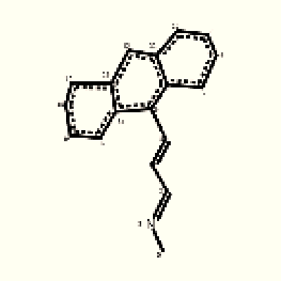 C/N=C/C=C/c1c2ccccc2cc2ccccc12